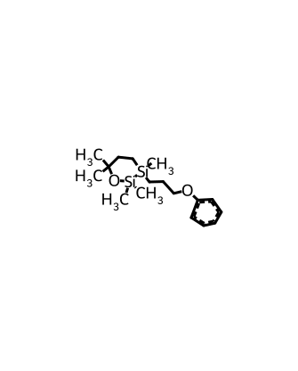 CC1(C)CC[Si](C)(CCCOc2ccccc2)[Si](C)(C)O1